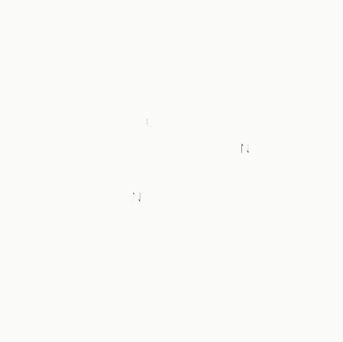 c1cc2c(cn1)CCCC1CCN21